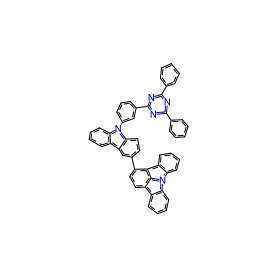 c1ccc(-c2nc(-c3ccccc3)nc(-c3cccc(-n4c5ccccc5c5cc(-c6ccc7c8ccccc8n8c9ccccc9c6c78)ccc54)c3)n2)cc1